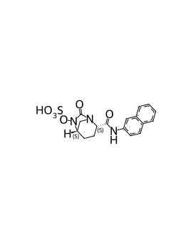 O=C(Nc1ccc2ccccc2c1)[C@@H]1CC[C@H]2CN1C(=O)N2OS(=O)(=O)O